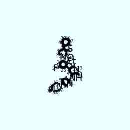 CCc1c(-c2cc(Nc3ccc(N4CCN(C)CC4)cn3)c(=O)n(C)c2)cc(F)cc1N1CCc2c(sc3ccccc23)C1=O